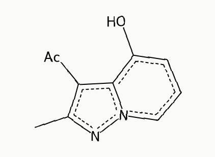 CC(=O)c1c(C)nn2cccc(O)c12